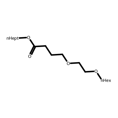 CCCCCCCOC(=O)CCCOCCOCCCCCC